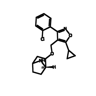 Clc1ccccc1-c1noc(C2CC2)c1COC1CC2CC[C@@H]1N2